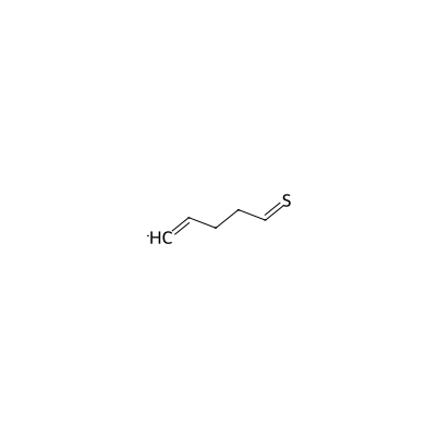 [CH]=CCCC=S